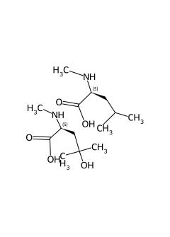 CN[C@@H](CC(C)(C)O)C(=O)O.CN[C@@H](CC(C)C)C(=O)O